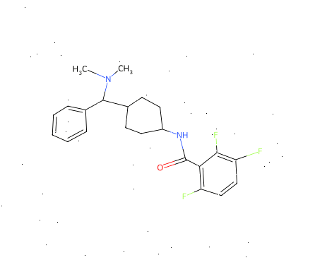 CN(C)C(c1ccccc1)C1CCC(NC(=O)c2c(F)ccc(F)c2F)CC1